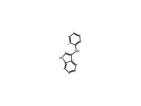 c1ccc(Nc2c[nH]c3ccccc23)cc1